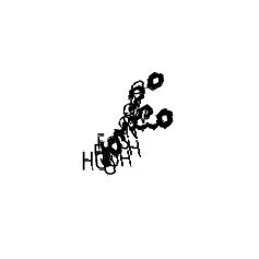 O=C(NC(CCCc1ccccc1)C(=O)N1CCC[C@H]1C(=O)N1CCO[C@H](c2ccccc2)C1)c1cc2cc(C(F)(F)P(=O)(O)O)ccc2s1